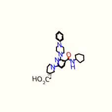 O=C(O)C[C@@H]1CCCN(c2ccc(C(=O)NC3CCCCC3)c(N3CCN(c4ccccc4)CC3)n2)C1